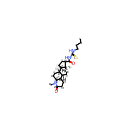 CCCCNC(=S)NC(=O)C1CC[C@H]2[C@@H]3CCC4N(C)C(=O)CC[C@]4(C)[C@@H]3CC[C@]12C